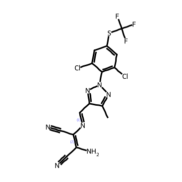 Cc1nn(-c2c(Cl)cc(SC(F)(F)F)cc2Cl)nc1/C=N/C(C#N)=C(\N)C#N